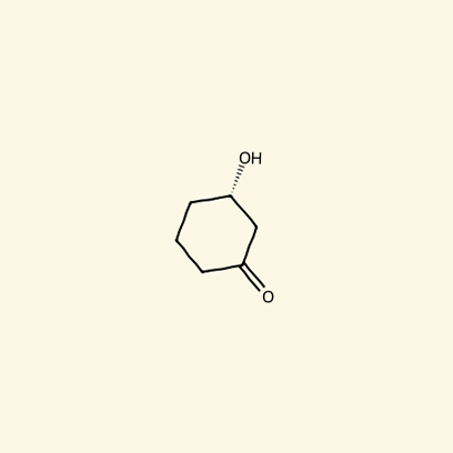 O=C1CCC[C@H](O)C1